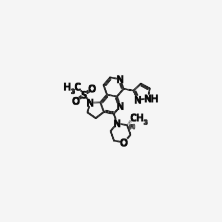 C[C@@H]1COCCN1c1nc2c(-c3cc[nH]n3)nccc2c2c1CCN2S(C)(=O)=O